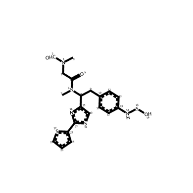 CN(C=O)CC(=O)N(C)C(Cc1ccc(NSO)cc1)c1csc(-c2cccs2)n1